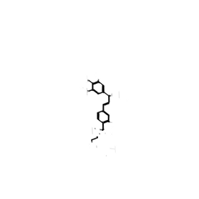 O=C(O)CCNC(=O)c1ccc(C=CC(c2cc(Cl)c(Cl)c(Cl)c2)C(F)(F)F)cc1C(F)(F)F